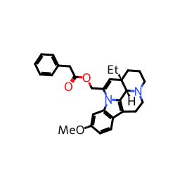 CC[C@@]12C=C(COC(=O)Cc3ccccc3)n3c4c(c5ccc(OC)cc53)CCN(CCC1)[C@H]42